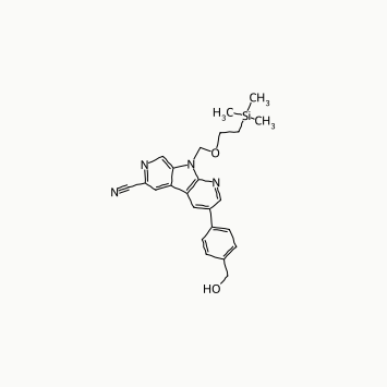 C[Si](C)(C)CCOCn1c2cnc(C#N)cc2c2cc(-c3ccc(CO)cc3)cnc21